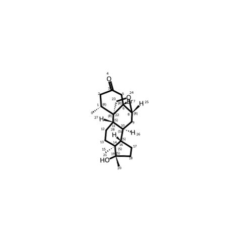 C[C@@H]1CC(=O)C[C@]2(Br)[C@H]3C[C@@H]4[C@H](CC[C@@]5(C)[C@H]4CC[C@]5(C)O)[C@@]12CO3